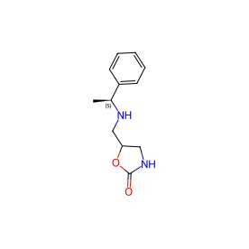 C[C@H](NCC1CNC(=O)O1)c1ccccc1